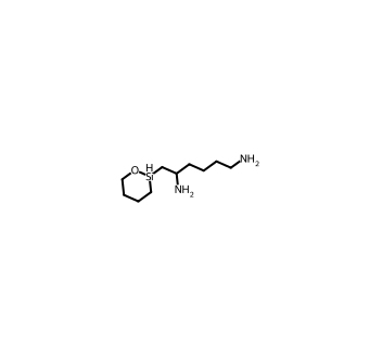 NCCCCC(N)C[SiH]1CCCCO1